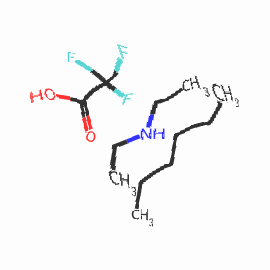 CCCCCC.CCNCC.O=C(O)C(F)(F)F